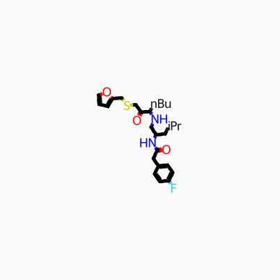 CCCCC(NCC(CC(C)C)NC(=O)Cc1ccc(F)cc1)C(=O)CSCc1ccco1